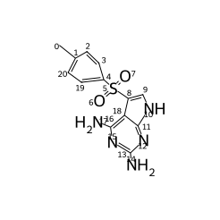 Cc1ccc(S(=O)(=O)c2c[nH]c3nc(N)nc(N)c23)cc1